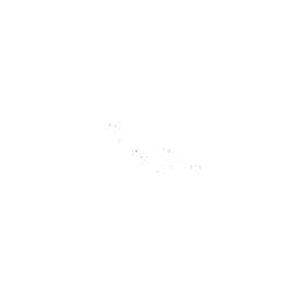 CCN(Cc1cc(Br)ccc1OCC1CC1)c1ccc(C#N)cn1